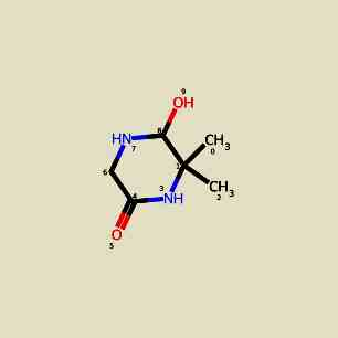 CC1(C)NC(=O)CNC1O